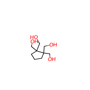 OCC1(CO)CCCC1(CO)CO